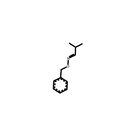 CC(C)C=NOCc1ccccc1